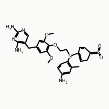 COc1cc(Cc2cnc(N)nc2N)cc(OC)c1OCCN(C1=CCC(=S(=O)=O)C=C1)c1ccc(N)cc1C